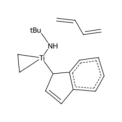 C=CC=C.CC(C)(C)[NH][Ti]1([CH]2C=Cc3ccccc32)[CH2][CH2]1